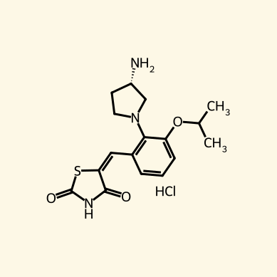 CC(C)Oc1cccc(C=C2SC(=O)NC2=O)c1N1CC[C@H](N)C1.Cl